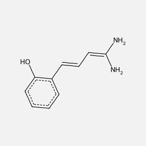 NC(N)=CC=Cc1ccccc1O